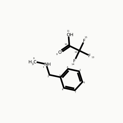 CNCc1ccccc1.O=C(O)C(F)(F)F